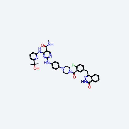 CNC(=O)c1cnc(Nc2ccc(N3CCN(C(=O)c4cc(Cc5n[nH]c(=O)c6ccccc56)ccc4F)CC3)cc2)nc1Nc1cccc(C(C)(C)O)n1